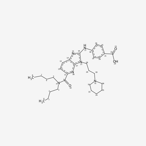 CCCCN(CCCC)C(=O)c1ccc2nc(Nc3ccc(C(=O)O)cc3)n(CCCN3CCCCC3)c2n1